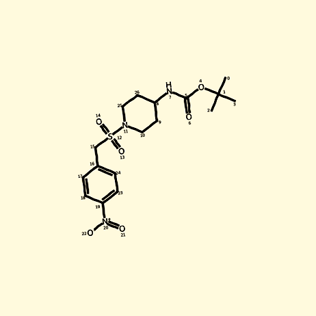 CC(C)(C)OC(=O)NC1CCN(S(=O)(=O)Cc2ccc([N+](=O)[O-])cc2)CC1